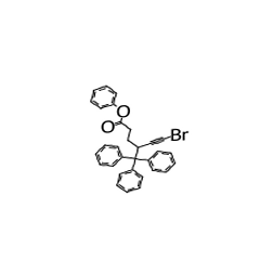 O=C(CCC(C#CBr)C(c1ccccc1)(c1ccccc1)c1ccccc1)Oc1ccccc1